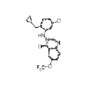 O=c1c2cc(OC(F)(F)F)ccc2ncn1Nc1cc(Cl)ccc1CC1CC1